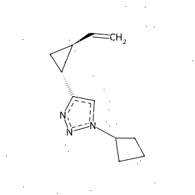 C=C[C@@H]1C[C@H]1c1cn(C2CCC2)nn1